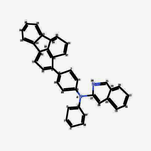 c1ccc(N(c2ccc(-c3ccc4c5c(cccc35)-c3ccccc3-4)cc2)c2cc3ccccc3cn2)cc1